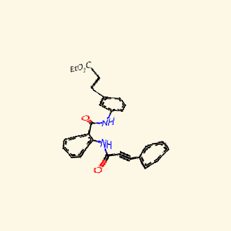 CCOC(=O)CCc1cccc(NC(=O)c2ccccc2NC(=O)C#Cc2ccccc2)c1